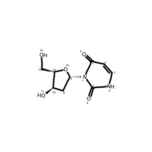 O=c1cc[nH]c(=O)n1[C@@H]1C[C@@H](O)[C@@H](CO)O1